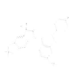 COc1ccc2c(c1)O[C@@H]([C@H]1CC[C@H](C(=O)O)CC1)C[C@H]2NC(=O)C1(c2ccc3c(c2)OC(F)(F)O3)CC1